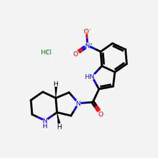 Cl.O=C(c1cc2cccc([N+](=O)[O-])c2[nH]1)N1C[C@H]2CCCN[C@H]2C1